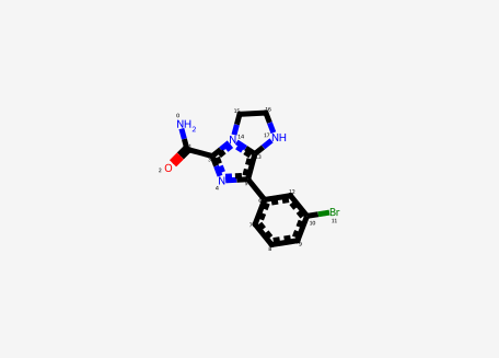 NC(=O)c1nc(-c2cccc(Br)c2)c2n1CCN2